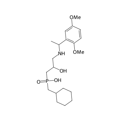 COc1ccc(OC)c(C(C)NCC(O)CP(=O)(O)CC2CCCCC2)c1